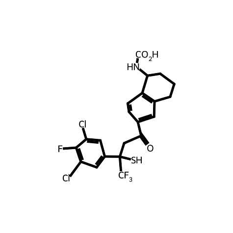 O=C(O)NC1CCCc2cc(C(=O)CC(S)(c3cc(Cl)c(F)c(Cl)c3)C(F)(F)F)ccc21